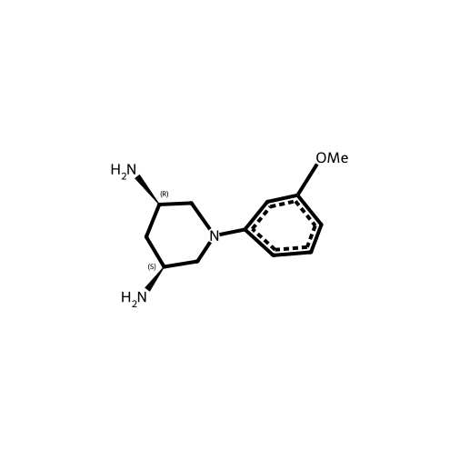 COc1cccc(N2C[C@H](N)C[C@H](N)C2)c1